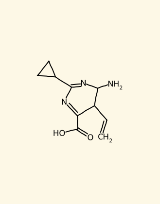 C=CC1C(C(=O)O)=NC(C2CC2)=NC1N